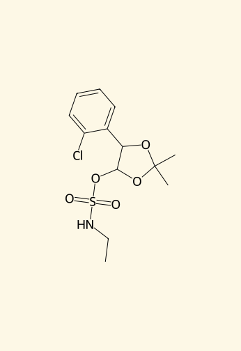 CCNS(=O)(=O)OC1OC(C)(C)OC1c1ccccc1Cl